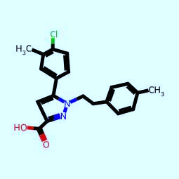 Cc1ccc(CCn2nc(C(=O)O)cc2-c2ccc(Cl)c(C)c2)cc1